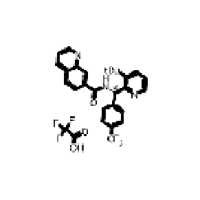 CC(C)(C)c1cccnc1[C@@H](NC(=O)c1ccc2cccnc2c1)c1ccc(C(F)(F)F)cc1.O=C(O)C(F)(F)F